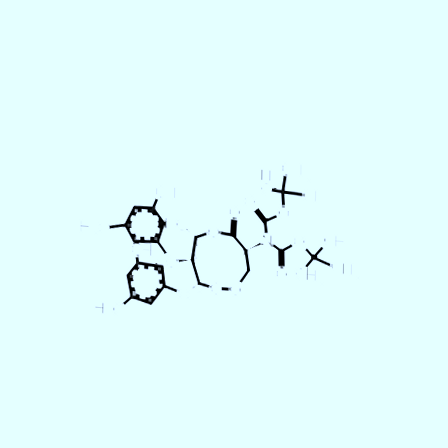 Cc1cc(C)cc(O[C@H]2[C@H](C)OC(=O)[C@@H](N(C(=O)OC(C)(C)C)C(=O)OC(C)(C)C)COC[C@@H]2Oc2cc(C)cc(C)c2)c1